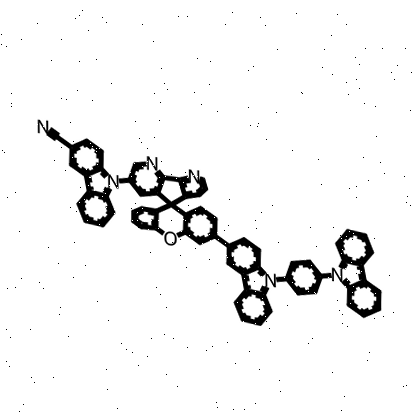 N#Cc1ccc2c(c1)c1ccccc1n2-c1cnc2c(c1)C1(c3ccccc3Oc3cc(-c4ccc5c(c4)c4ccccc4n5-c4ccc(-n5c6ccccc6c6ccccc65)cc4)ccc31)c1cccnc1-2